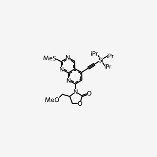 COCC1COC(=O)N1c1cc(C#C[Si](C(C)C)(C(C)C)C(C)C)c2cnc(SC)nc2n1